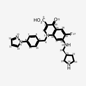 O=C(O)c1cn(Cc2ccc(-n3cccn3)cc2)c2cc(NC[C@H]3CCNC3)c(F)cc2c1=O